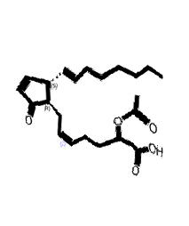 CCCCCCC=C[C@H]1C=CC(=O)[C@@H]1C/C=C\CCC(OC(C)=O)C(=O)O